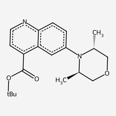 C[C@@H]1COC[C@@H](C)N1c1ccc2nccc(C(=O)OC(C)(C)C)c2c1